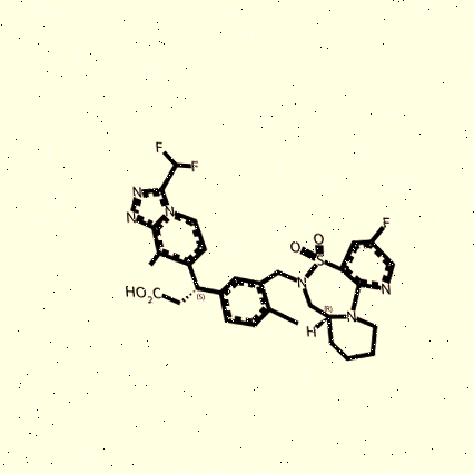 Cc1ccc([C@H](CC(=O)O)c2ccn3c(C(F)F)nnc3c2C)cc1CN1C[C@H]2CCCCN2c2ncc(F)cc2S1(=O)=O